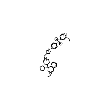 CCc1cc(S(=O)(=O)c2ccc(N3CC(CN4CCC(C5(C6CCCC6)CN(CC)Cc6ccccc65)CC4)C3)cc2)ccn1